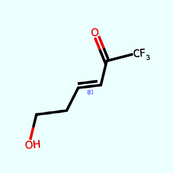 O=C(/C=C/CCO)C(F)(F)F